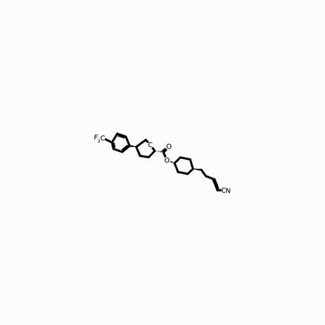 N#CC=CCC[C@H]1CC[C@H](OC(=O)[C@H]2CC[C@H](c3ccc(C(F)(F)F)cc3)CC2)CC1